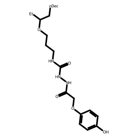 CCCCCCCCCCCC(CC)OCCCNC(=O)NNC(=O)COc1ccc(O)cc1